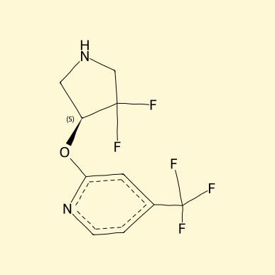 FC(F)(F)c1ccnc(O[C@H]2CNCC2(F)F)c1